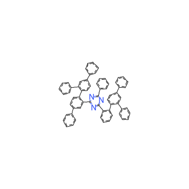 c1ccc(-c2ccc(-c3ccccc3-c3nc(-c4ccccc4)nc(-c4cc(-c5ccccc5)ccc4-c4ccc(-c5ccccc5)cc4-c4ccccc4)n3)c(-c3ccccc3)c2)cc1